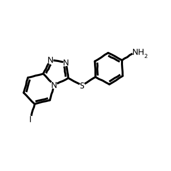 Nc1ccc(Sc2nnc3ccc(I)cn23)cc1